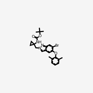 Cc1cccc(C)c1Oc1cc2cn(CC3(NC(=O)OC(C)(C)C)CC3)nc2cc1Br